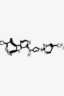 Cc1c(Cl)nnc2sc3c(NC4CN(c5ncc(C(F)(F)F)cn5)C4)nccc3c12